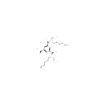 CCCCCCN(CC)C(=O)c1cc(C(=O)O)cc(C(=O)N(CC)CCCCCC)c1